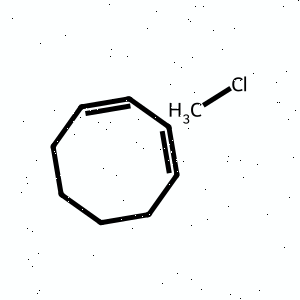 C1=CCCCCC=C1.CCl